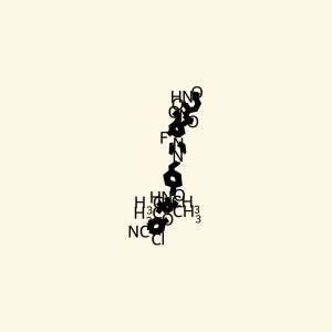 CC1(C)C(NC(=O)c2ccc(CCN3CCN(c4cc5c(cc4F)C(=O)N(C4CCC(=O)NC4=O)C5=O)CC3)cc2)C(C)(C)C1Oc1ccc(C#N)c(Cl)c1